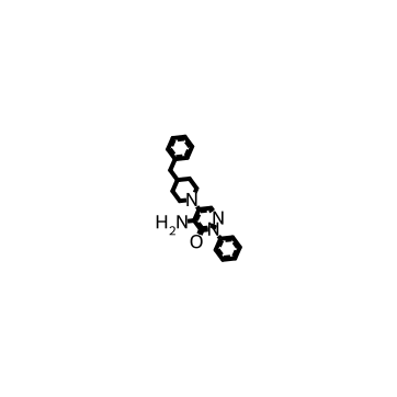 Nc1c(N2CCC(Cc3ccccc3)CC2)cnn(-c2ccccc2)c1=O